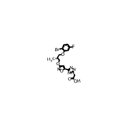 C[C@@H](COc1cc(-c2nnn(CC(=O)O)n2)on1)COc1cc(F)ccc1Br